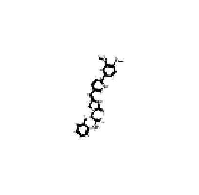 COc1ccc(-c2ccc(/C=C3/CN([C@@H](Cc4ccccc4)C(=O)O)C(=S)S3)cn2)cc1OC